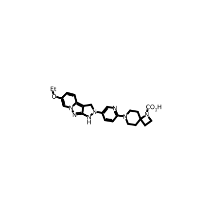 CCOc1ccc2c3c(nn2c1)NN(c1ccc(N2CCC4(CC2)CCN4C(=O)O)nc1)C3